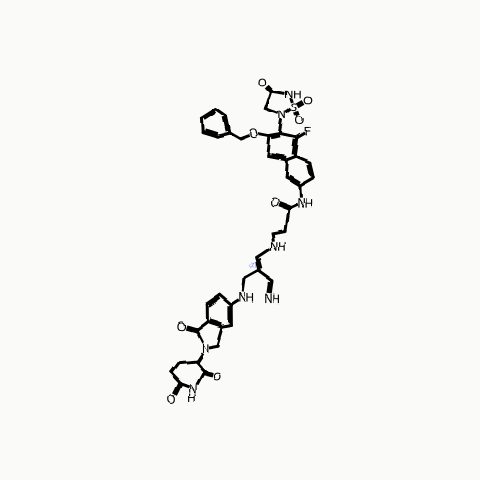 N=C/C(=C\NCCC(=O)Nc1ccc2c(F)c(N3CC(=O)NS3(=O)=O)c(OCc3ccccc3)cc2c1)CNc1ccc2c(c1)CN(C1CCC(=O)NC1=O)C2=O